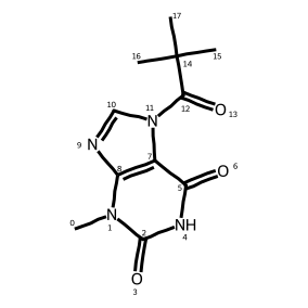 Cn1c(=O)[nH]c(=O)c2c1ncn2C(=O)C(C)(C)C